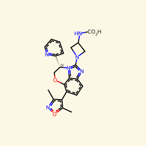 Cc1noc(C)c1-c1ccc2nc(N3CC(NC(=O)O)C3)n3c2c1OC[C@@H]3c1ccccn1